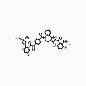 CCCC1(CCC)CN(c2ncc(C)cc2C(=O)Nc2ccc(C(=O)N3CCc4c([nH]c(C(=O)c5cccc(F)c5N)c4Cl)-c4ccccc43)cc2)C1